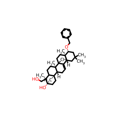 CC1(C)C[C@@H]2C3=CC[C@@H]4[C@@]5(C)CC[C@H](O)[C@@](C)(CO)C5CC[C@@]4(C)[C@]3(C)CC[C@@]2(C)[C@H](OCc2ccccc2)C1